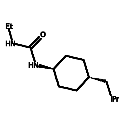 CCNC(=O)N[C@H]1CC[C@H](CC(C)C)CC1